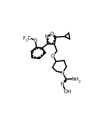 N/C(=N\O)N1CCC(OCc2c(-c3ccccc3OC(F)(F)F)noc2C2CC2)CC1